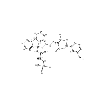 COc1cccc(N2CC(C)N(CCCCC3(OC(=O)NCC(F)(F)F)c4ccccc4-c4ccccc43)C(C)C2)n1